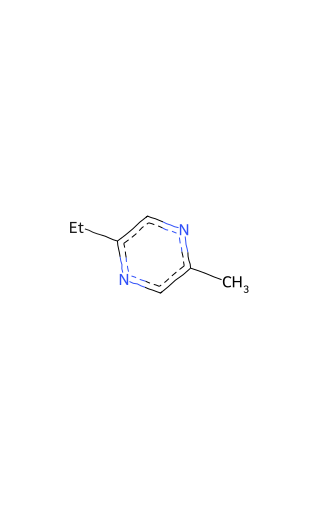 [CH2]Cc1cnc(C)cn1